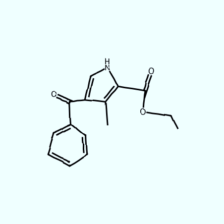 CCOC(=O)c1[nH]cc(C(=O)c2ccccc2)c1C